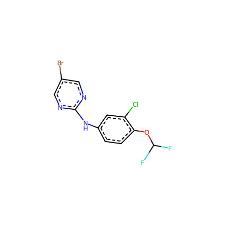 FC(F)Oc1ccc(Nc2ncc(Br)cn2)cc1Cl